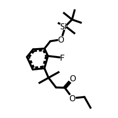 CCOC(=O)CC(C)(C)c1cccc(CO[Si](C)(C)C(C)(C)C)c1F